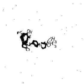 CC1(C)CCN(c2ccc(N3C(=O)Cc4cc(F)c(O)c(F)c43)cc2)CC1